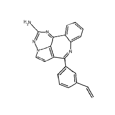 C=Cc1cccc(C2=Nc3ccccc3-c3nc(N)nn4ccc2c34)c1